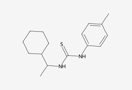 Cc1ccc(NC(=S)NC(C)C2CCCCC2)cc1